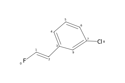 F/C=C/c1cccc(Cl)c1